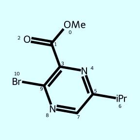 COC(=O)c1nc(C(C)C)cnc1Br